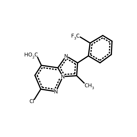 Cc1c(-c2ccccc2C(F)(F)F)nc2c(C(=O)O)cc(Cl)nn12